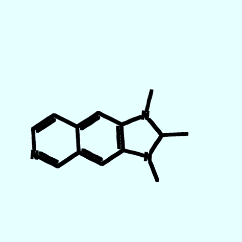 CC1N(C)c2cc3ccncc3cc2N1C